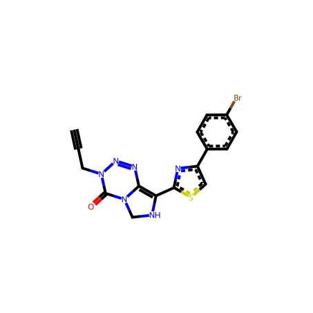 C#CCN1N=NC2=C(c3nc(-c4ccc(Br)cc4)cs3)NCN2C1=O